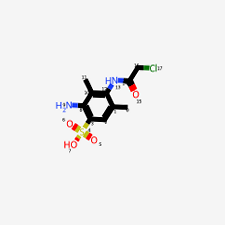 Cc1cc(S(=O)(=O)O)c(N)c(C)c1NC(=O)CCl